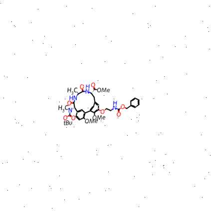 COC(=O)[C@@H]1Cc2cc(OCCNC(=O)OCc3ccccc3)c(OC)c(c2)-c2cc(ccc2OC)[C@H](N(C)C(=O)OC(C)(C)C)C(=O)N[C@H](C)C(=O)N1